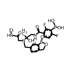 CCNC(=O)CN(Cc1ccc2c(c1)B(O)OC2)C(C)(C)CNC(=O)c1ccc(F)c(B(O)O)c1F